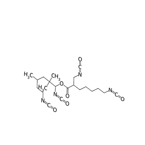 CC(CCN=C=O)CC(C)(C)C(N=C=O)OC(=O)C(CCCCCN=C=O)CN=C=O